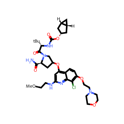 COCCNc1cc(OC2C[C@@H](C(N)=O)N(C(=O)[C@@H](NC(=O)O[C@@H]3C[C@@H]4C[C@@H]4C3)C(C)(C)C)C2)c2ccc(OCCN3CCOCC3)c(Cl)c2n1